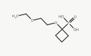 CCOCCOC1(P(=O)(O)O)CCC1